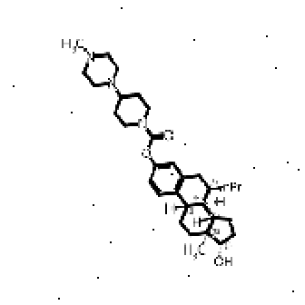 CCC[C@@H]1Cc2cc(OC(=O)N3CCC(N4CCN(C)CC4)CC3)ccc2[C@H]2CC[C@]3(C)[C@@H](O)CC[C@H]3[C@H]12